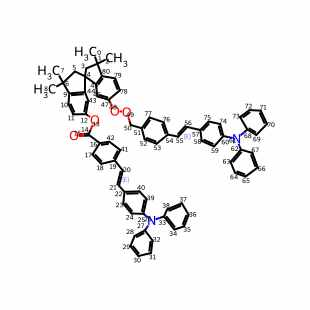 CC1(C)CC2(CC(C)(C)c3ccc(OC(=O)c4ccc(/C=C/c5ccc(N(c6ccccc6)c6ccccc6)cc5)cc4)cc32)c2cc(OOCc3ccc(/C=C/c4ccc(N(c5ccccc5)c5ccccc5)cc4)cc3)ccc21